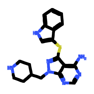 Nc1ncnc2c1c(Sc1c[nH]c3ccccc13)nn2CC1CCNCC1